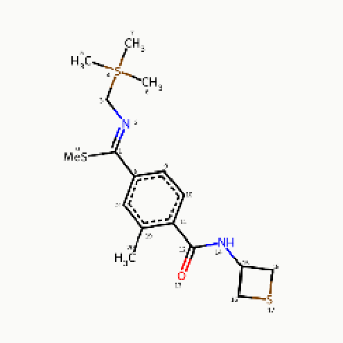 CS/C(=N\CS(C)(C)C)c1ccc(C(=O)NC2CSC2)c(C)c1